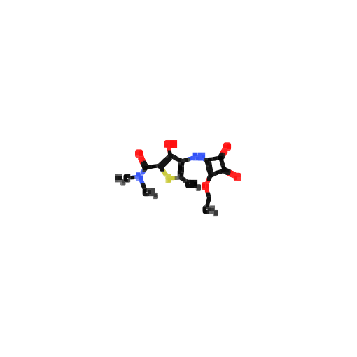 CCOc1c(Nc2c(C)sc(C(=O)N(C)C)c2O)c(=O)c1=O